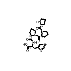 O=C(O)[C@H](Cc1c[nH]cn1)NC(=O)[C@@H]1CCCN1C(=O)[C@@H]1CCCN1C(=O)[C@@H]1CCCN1